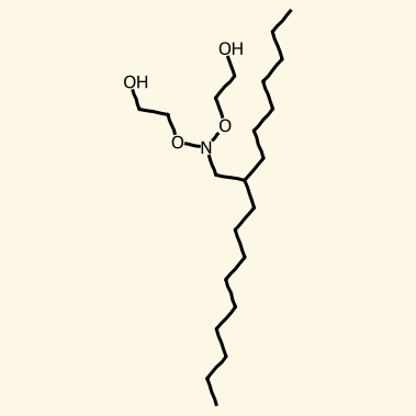 CCCCCCCCCC(CCCCCCC)CN(OCCO)OCCO